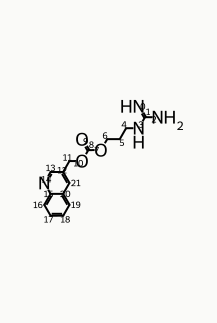 N=C(N)NCCCOC(=O)OCc1cnc2ccccc2c1